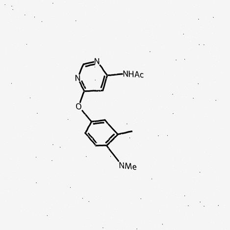 CNc1ccc(Oc2cc(NC(C)=O)ncn2)cc1C